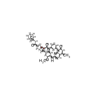 COc1cc(N2CC3CN(C(=O)CC45CC6CC(CC4C6)C5)CC3C2)ccc1Nc1ncc2c(C)cc(=O)n(-c3cccc(NC(=O)C4CC4)c3)c2n1